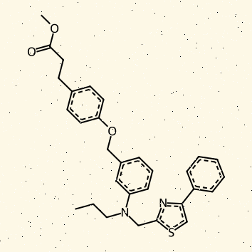 CCCN(Cc1nc(-c2ccccc2)cs1)c1cccc(COc2ccc(CCC(=O)OC)cc2)c1